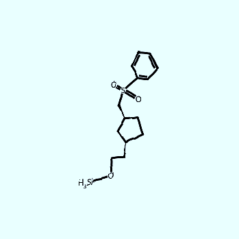 O=S(=O)(C[C@H]1CC[C@@H](CCO[SiH3])C1)c1ccccc1